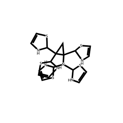 C1=CSC(N(C2NC=CS2)C2(C3NC=CS3)CC2(C2NC=CS2)C2NC=CS2)N1